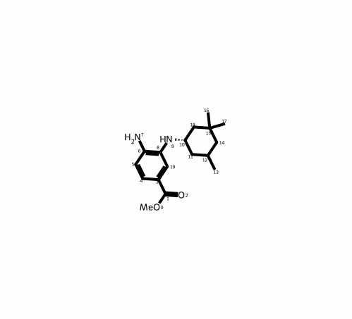 COC(=O)c1ccc(N)c(N[C@H]2CC(C)CC(C)(C)C2)c1